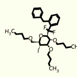 CCCCOC[C@H]1O[C@@H](C(F)(F)c2ccccc2Cc2ccccc2)[C@H](OCCCC)[C@@H](OCCCC)[C@@H]1I